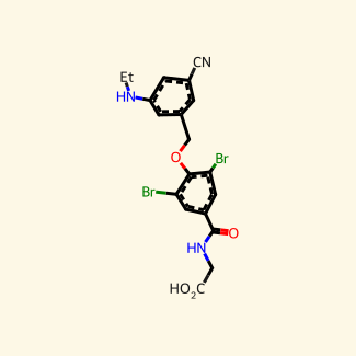 CCNc1cc(C#N)cc(COc2c(Br)cc(C(=O)NCC(=O)O)cc2Br)c1